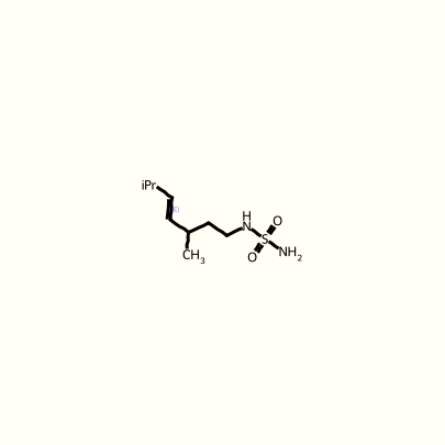 CC(C)/C=C/C(C)CCNS(N)(=O)=O